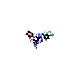 C[C@@H](Nc1ncnc2c1CN(C1CC3CCC(C1)O3)C(=O)C21CN(C)C1)c1cccc(C(F)(F)F)c1F